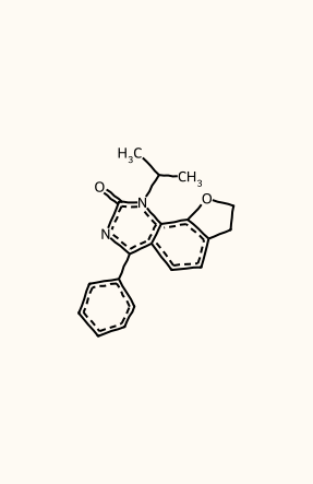 CC(C)n1c(=O)nc(-c2ccccc2)c2ccc3c(c21)OCC3